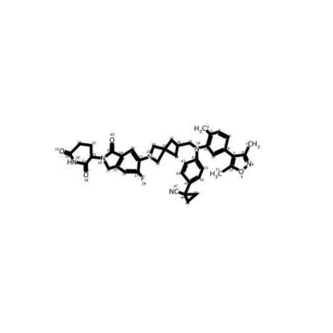 Cc1ccc(-c2c(C)noc2C)cc1N(CC1CC2(C1)CN(c1cc3c(cc1F)CN(C1CCC(=O)NC1=O)C3=O)C2)c1ccc(C2(C#N)CC2)cc1